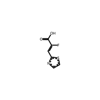 O=C(O)C(F)=Cc1nccs1